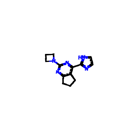 c1c[nH]c(-c2nc(N3CCC3)nc3c2CCC3)n1